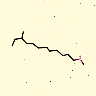 CCC(C)CCCCCCCCCPC